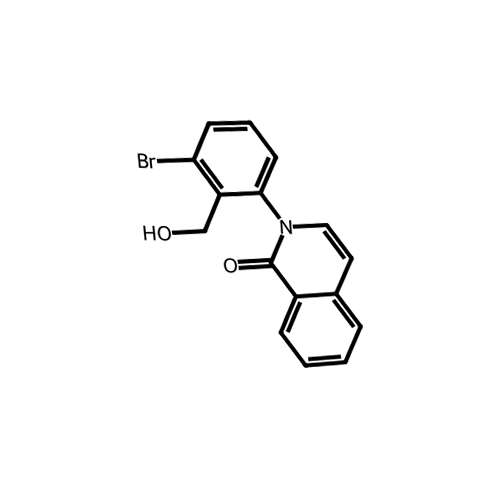 O=c1c2ccccc2ccn1-c1cccc(Br)c1CO